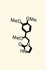 COc1ccc(C(Cn2cc[nH]c2=O)OC)cc1OC